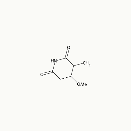 COC1CC(=O)NC(=O)C1C